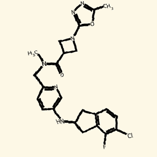 Cc1nnc(N2CC(C(=O)N(C)Cc3ccc(NC4Cc5ccc(Cl)c(F)c5C4)cn3)C2)o1